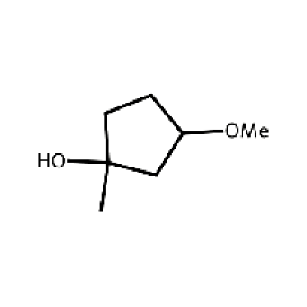 COC1CCC(C)(O)C1